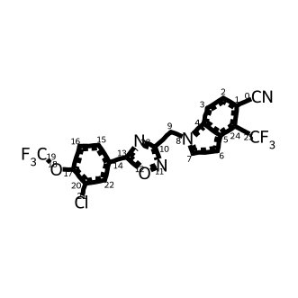 N#Cc1ccc2c(ccn2Cc2noc(-c3ccc(OC(F)(F)F)c(Cl)c3)n2)c1C(F)(F)F